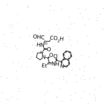 CC[C@H](NC(=O)c1nccc2ccccc12)C(=O)N1CCC[C@H]1C(=O)N[C@H](C=O)CC(=O)O